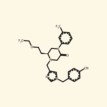 N#Cc1ccc(Cn2cnc(CN3CC(=O)N(c4cccc(C(F)(F)F)c4)C[C@@H]3CCOCC(F)(F)F)c2)cc1